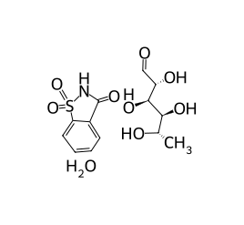 C[C@H](O)[C@H](O)[C@@H](O)[C@@H](O)C=O.O.O=C1NS(=O)(=O)c2ccccc21